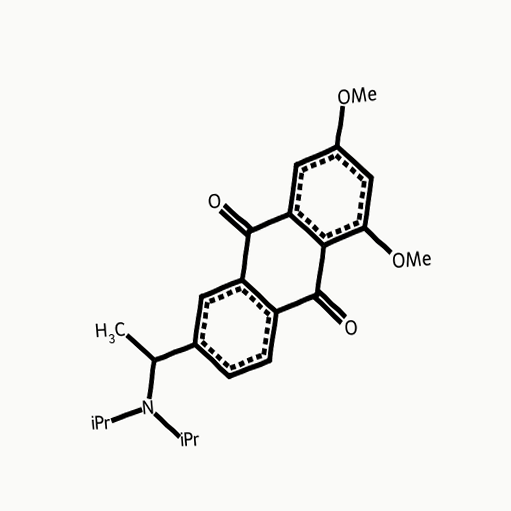 COc1cc(OC)c2c(c1)C(=O)c1cc(C(C)N(C(C)C)C(C)C)ccc1C2=O